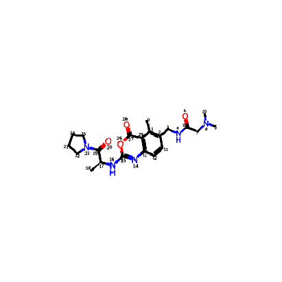 Cc1c(CNC(=O)CN(C)C)ccc2nc(N[C@@H](C)C(=O)N3CCCC3)oc(=O)c12